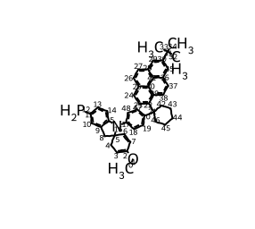 COC1=CCC2(C=C1)Cc1cc(P)ccc1N2c1ccc(C2(c3ccc4ccc5cc(C(C)(C)C)cc6ccc3c4c56)CCCCC2)cc1